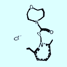 Cc1cccc(C)[n+]1OC(=O)N1CCOCC1.[Cl-]